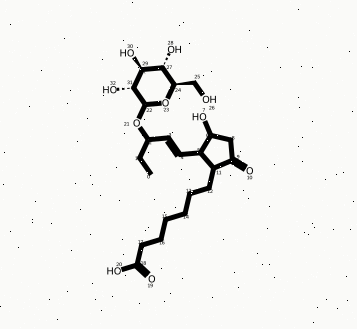 CCC(/C=C/C1C(O)CC(=O)C1CCCCCCC(=O)O)OC1O[C@H](CO)[C@@H](O)[C@H](O)[C@H]1O